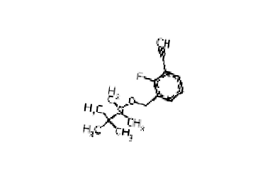 C#Cc1cccc(CO[Si](C)(C)C(C)(C)C)c1F